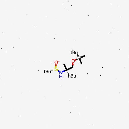 CCCC[C@](C)(CO[Si](C)(C)C(C)(C)C)N[S@@+]([O-])C(C)(C)C